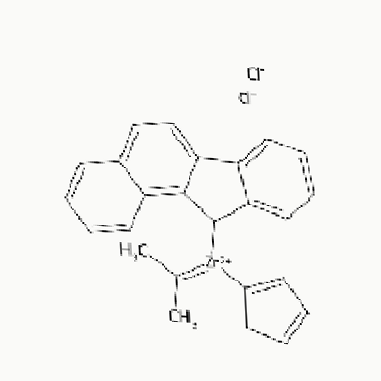 C[C](C)=[Zr+2]([C]1=CC=CC1)[CH]1c2ccccc2-c2ccc3ccccc3c21.[Cl-].[Cl-]